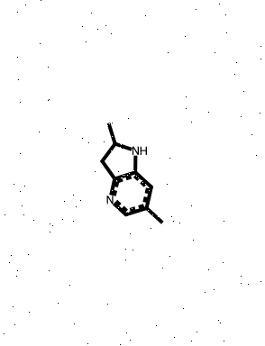 Cc1cnc2c(c1)NC(C)C2